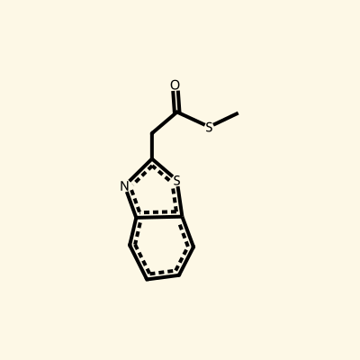 CSC(=O)Cc1nc2ccccc2s1